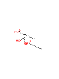 CC(CCO)CCO.CCCCCCCCCCC(=O)O.CCCCCCCCCCC(=O)O